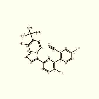 CC(C)(O)c1ccn2c(-c3ccc(F)c(-c4ccc(F)cc4C#N)n3)cnc2c1F